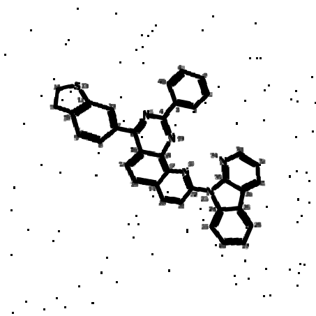 c1ccc(-c2nc(-c3ccc4c(c3)SCC4)c3ccc4ccc(-n5c6ccccc6c6cccnc65)nc4c3n2)cc1